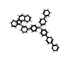 C1=CCCC(C2=CCC(c3ccc(N(C4=CCC(C5=CCCC=C5)C=C4)c4ccc(C5C=C(n6c7c(c8c6C6CC=CCC6C=C8)CCC=C7)CCC5)cc4)cc3)C=C2)=C1